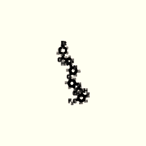 CCN1CCN(C(=O)c2cnc(-c3cc(Oc4ccc5c(c4)nc(Nc4cc(C(F)(F)F)ccc4F)n5C)ccn3)[nH]2)CC1